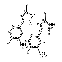 Cc1cc(-c2ccc(C)c(N)c2)[nH]n1.Cc1cc(-c2ccc(C)c([N+](=O)[O-])c2)n[nH]1